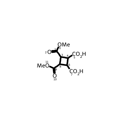 COC(=O)C1C(C(=O)O)C(C(=O)O)C1C(=O)OC